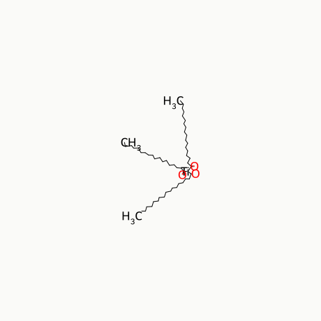 CCCCCCCCCCCCCCCCC[C](=O)[Ti]([C](=O)CCCCCCCCCCCCCCCCC)[C](=O)CCCCCCCCCCCCCCCCC